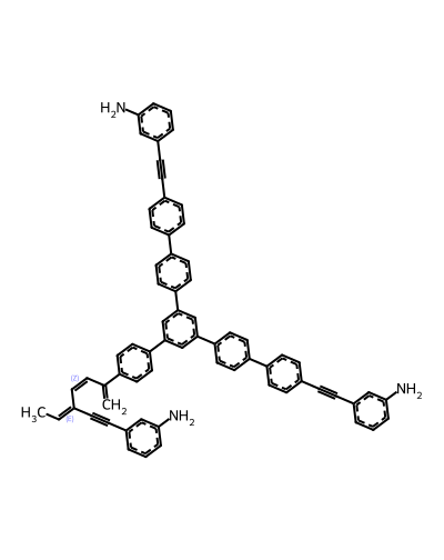 C=C(/C=C\C(C#Cc1cccc(N)c1)=C/C)c1ccc(-c2cc(-c3ccc(-c4ccc(C#Cc5cccc(N)c5)cc4)cc3)cc(-c3ccc(-c4ccc(C#Cc5cccc(N)c5)cc4)cc3)c2)cc1